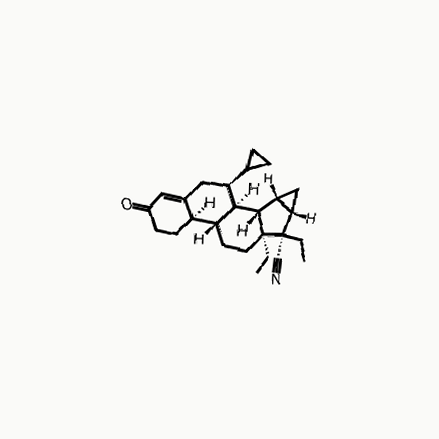 CC[C@]12CC[C@H]3[C@H]([C@@H]1[C@@H]1C[C@@H]1[C@@]2(C#N)CC)[C@H](C1CC1)CC1=CC(=O)CC[C@@H]13